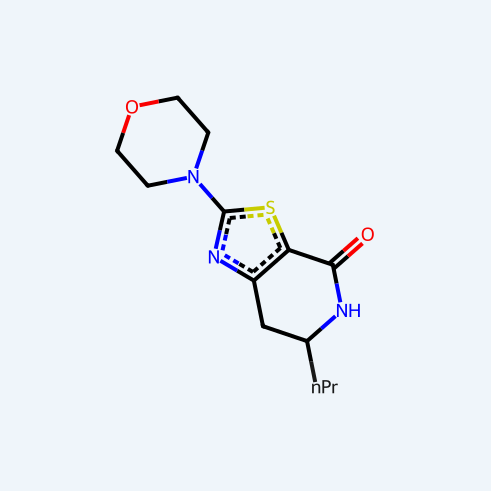 CCCC1Cc2nc(N3CCOCC3)sc2C(=O)N1